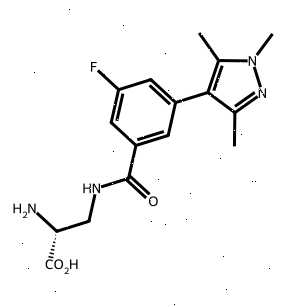 Cc1nn(C)c(C)c1-c1cc(F)cc(C(=O)NC[C@@H](N)C(=O)O)c1